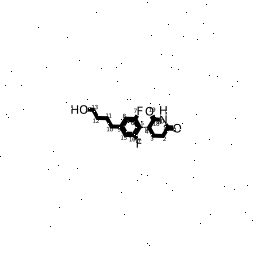 O=C1CC[C@H](c2c(F)cc(CCCCO)cc2F)C(=O)N1